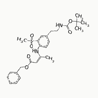 CC(=CC(=O)OCc1ccccc1)Nc1ccc(CCNC(=O)OC(C)(C)C)cc1S(C)(=O)=O